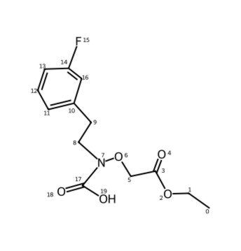 CCOC(=O)CON(CCc1cccc(F)c1)C(=O)O